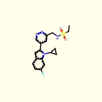 CCS(=O)(=O)NCc1cc(-c2cc3ccc(F)cc3n2C2CC2)cnn1